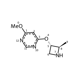 COc1cc(O[C@H]2CN[C@@H]2C)ncn1